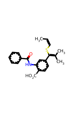 C/C=C\SC(=C(C)C)c1ccc(C(=O)O)c(NC(=O)c2ccccc2)c1